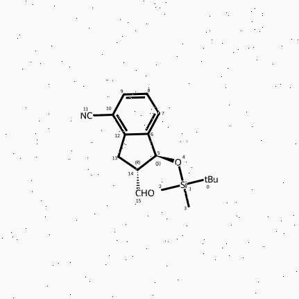 CC(C)(C)[Si](C)(C)O[C@@H]1c2cccc(C#N)c2C[C@H]1C=O